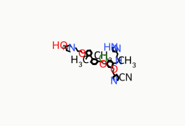 Cc1c(COc2cc(OCc3cncc(C#N)c3)c(CN(C)CCc3cc[nH]n3)cc2Cl)cccc1-c1cccc(OCCCN2CC[C@@H](O)C2)c1C